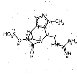 Cn1ncc2c1C(CNC(=N)N)N1CC2N(OS(=O)(=O)O)C1=O